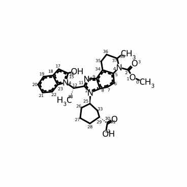 COC(=O)N1c2ccc3c(nc([C@H](C)n4c(O)cc5ccccc54)n3[C@@H]3CCC[C@@H](C(=O)O)C3)c2CCC1C